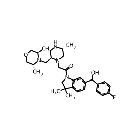 C[C@@H]1CN(CC(=O)N2CC(C)(C)c3ccc(C(O)c4ccc(F)cc4)cc32)[C@@H](CN2[C@H](C)COC[C@H]2C)CN1